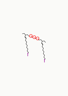 CCC(C=CCCCCCCCCI)CCOCOCOCCC(C=CCCCCCCCCI)CC